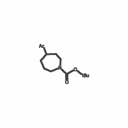 CC(=O)C1CCCN(C(=O)OC(C)(C)C)CC1